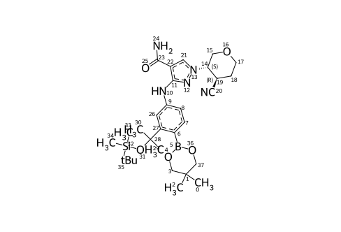 CC1(C)COB(c2ccc(Nc3nn([C@@H]4COCC[C@H]4C#N)cc3C(N)=O)cc2C(C)(C)O[Si](C)(C)C(C)(C)C)OC1